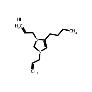 C=CCN1C=C(CCCC)N(CC=C)C1.I